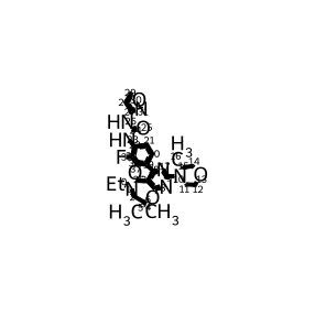 CCN1CC(C)(C)Oc2nc(N3CCOCC3C)nc(-c3ccc(NC(=O)Nc4ccon4)c(F)c3)c2C1=O